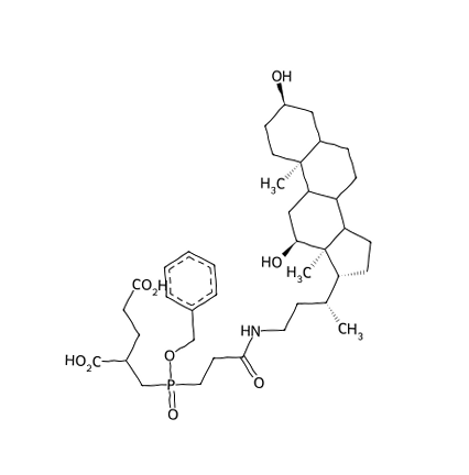 C[C@H](CCNC(=O)CCP(=O)(CC(CCC(=O)O)C(=O)O)OCc1ccccc1)[C@H]1CCC2C3CCC4C[C@H](O)CC[C@]4(C)C3C[C@H](O)[C@@]21C